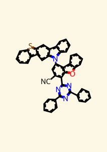 N#Cc1cc(-n2c3ccccc3c3cc4sc5ccccc5c4cc32)c2c(oc3ccccc32)c1-c1nc(-c2ccccc2)nc(-c2ccccc2)n1